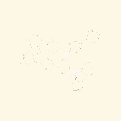 c1ccc(-c2ccc(N(c3cccc(-n4c5ccccc5c5ccccc54)c3)c3cccc(C4(c5ccccc5)c5ccccc5-c5ccccc54)c3)cc2)cc1